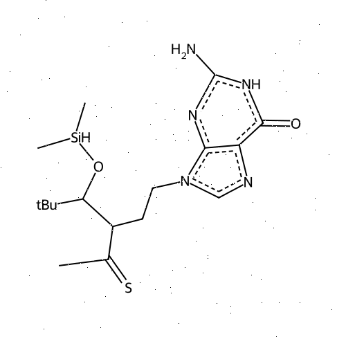 CC(=S)C(CCn1cnc2c(=O)[nH]c(N)nc21)C(O[SiH](C)C)C(C)(C)C